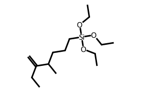 C=C(CC)C(C)CCC[Si](OCC)(OCC)OCC